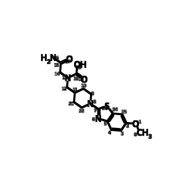 COc1ccc2nc(N3CCC(CN(CC(N)=O)C(=O)O)CC3)sc2c1